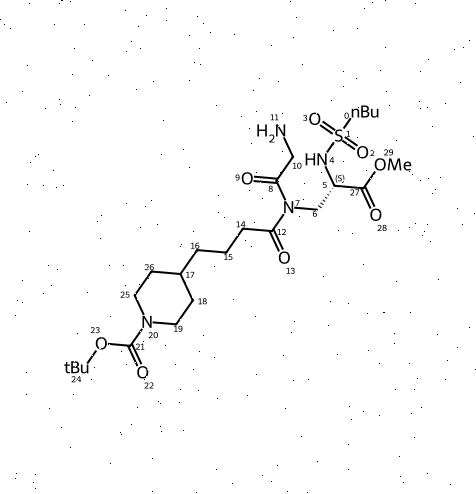 CCCCS(=O)(=O)N[C@@H](CN(C(=O)CN)C(=O)CCCC1CCN(C(=O)OC(C)(C)C)CC1)C(=O)OC